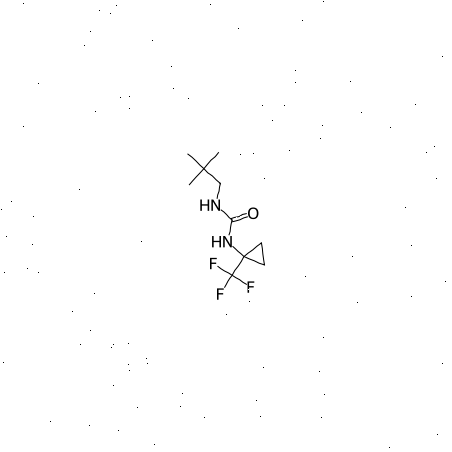 CC(C)(C)CNC(=O)NC1(C(F)(F)F)CC1